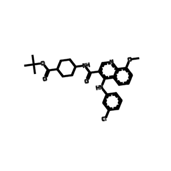 COc1cccc2c(Nc3cccc(Cl)c3)c(C(=O)NC3CCC(C(=O)OC(C)(C)C)CC3)cnc12